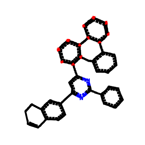 C1=CCC(c2ccccc2-c2ccccc2-c2ccccc2-c2cccc(-c3cc(-c4ccc5c(c4)CCC=C5)nc(-c4ccccc4)n3)c2)C=C1